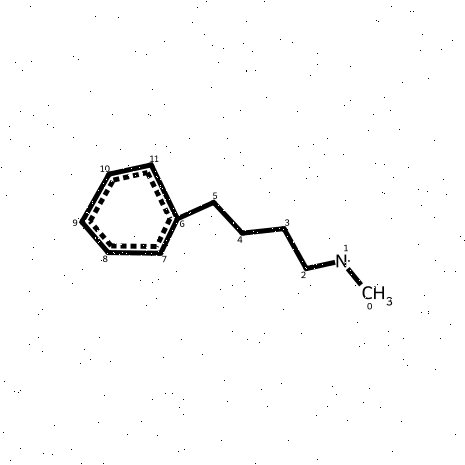 C[N]CCCCc1ccccc1